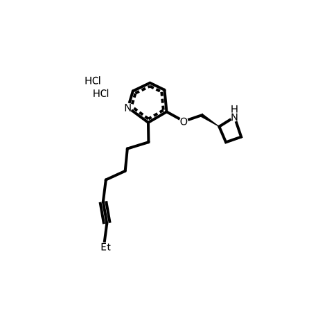 CCC#CCCCCc1ncccc1OC[C@@H]1CCN1.Cl.Cl